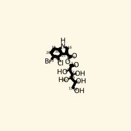 O=C(OC(=O)[C@H](O)[C@@H](O)[C@H](O)[C@H](O)CO)c1c[nH]c2ccc(Br)c(Cl)c12